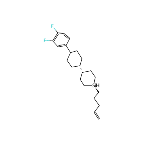 C=CCCC[Si@H]1CC[C@H](C2CCC(c3ccc(F)c(F)c3)CC2)CC1